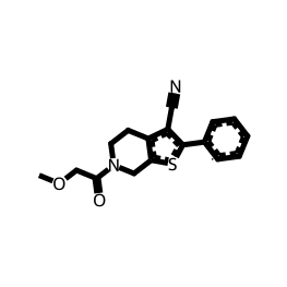 COCC(=O)N1CCc2c(sc(-c3[c]cccc3)c2C#N)C1